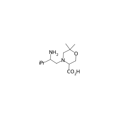 CC(C)C(N)CN1CC(C)(C)OCC1C(=O)O